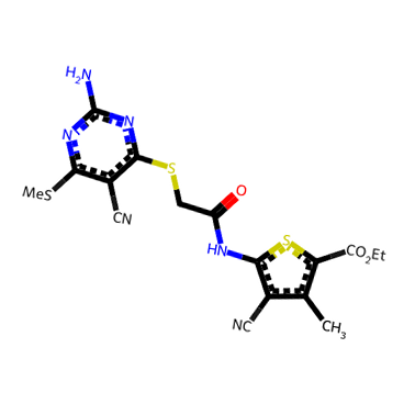 CCOC(=O)c1sc(NC(=O)CSc2nc(N)nc(SC)c2C#N)c(C#N)c1C